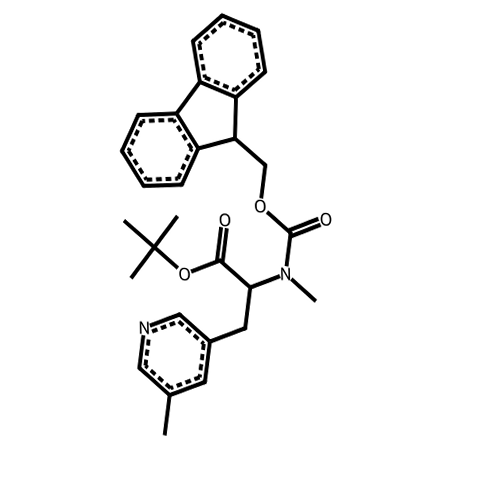 Cc1cncc(CC(C(=O)OC(C)(C)C)N(C)C(=O)OCC2c3ccccc3-c3ccccc32)c1